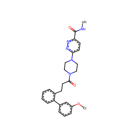 CCCNC(=O)c1ccc(N2CCN(C(=O)CCc3ccccc3-c3cccc(OCC)c3)CC2)nn1